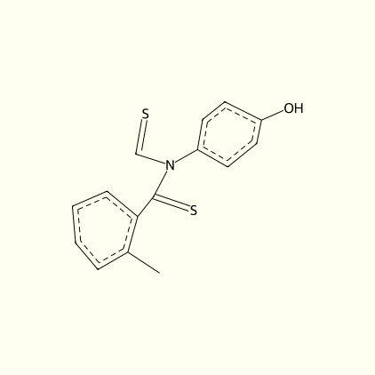 Cc1ccccc1C(=S)N(C=S)c1ccc(O)cc1